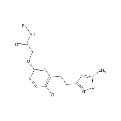 CCNC(=O)COc1cc(CCc2cc(C)on2)c(Cl)cn1